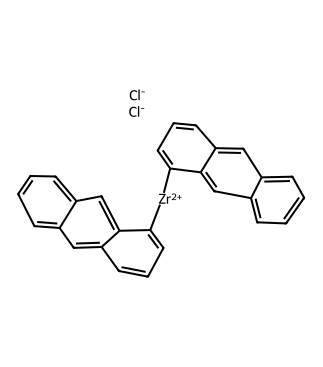 [Cl-].[Cl-].c1ccc2cc3[c]([Zr+2][c]4cccc5cc6ccccc6cc45)cccc3cc2c1